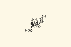 C[C@H](NC(=O)[C@H](CC(N)=O)NC(=O)CCCC(=O)O)C(=O)NCCNC(=O)CC(C)(C)S